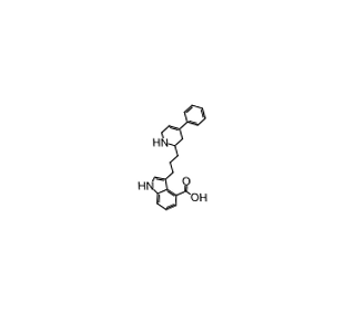 O=C(O)c1cccc2[nH]cc(CCCC3CC(c4ccccc4)=CCN3)c12